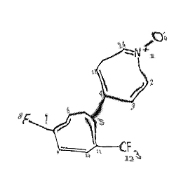 [O-][n+]1ccc(-c2cc(F)ccc2C(F)(F)F)cc1